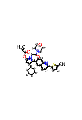 C=CC(=O)Oc1cc(C2CCCCC2)c(-c2ccc3nc(-c4ccc(C#N)s4)ccc3c2)n1CC(=O)N1CCOCC1